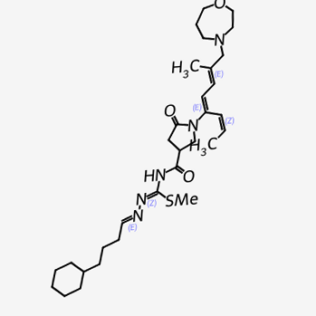 C\C=C/C(=C\C=C(/C)CN1CCCOCC1)N1CC(C(=O)N/C(=N/N=C/CCCC2CCCCC2)SC)CC1=O